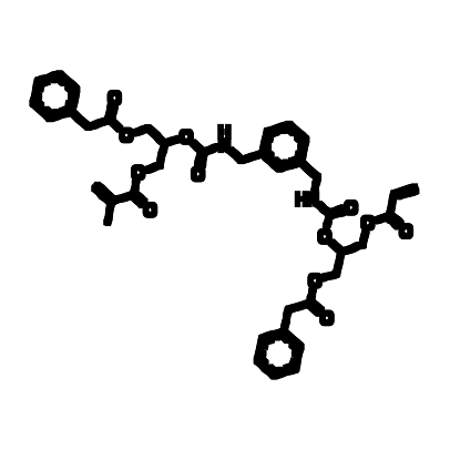 C=CC(=O)OCC(COC(=O)Cc1ccccc1)OC(=O)NCc1cccc(CNC(=O)OC(COC(=O)Cc2ccccc2)COC(=O)C(=C)C)c1